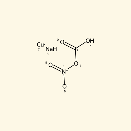 O=C(O)O[N+](=O)[O-].[Cu].[NaH]